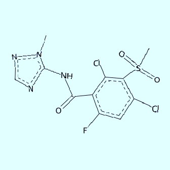 Cn1ncnc1NC(=O)c1c(F)cc(Cl)c(S(C)(=O)=O)c1Cl